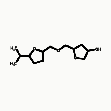 CC(C)C1CCC(COCC2CC(O)CO2)O1